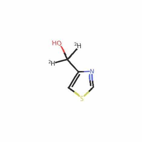 [2H]C([2H])(O)c1cscn1